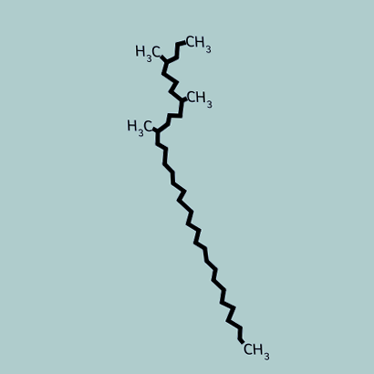 CCCCCCCCCCCCCCCCCCCCCCC(C)CCCC(C)CCCC(C)CCC